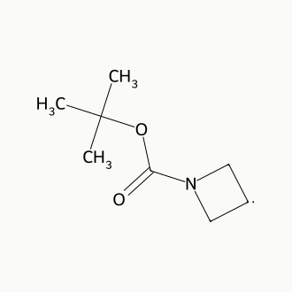 CC(C)(C)OC(=O)N1C[CH]C1